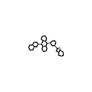 c1cc(-c2cc3ccccc3s2)cc(-c2c3ccccc3c(-c3ccc4ccccc4c3)c3ccccc23)c1